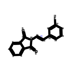 O=C1c2ccccc2C(=O)N1/C=C/c1cccc(F)c1